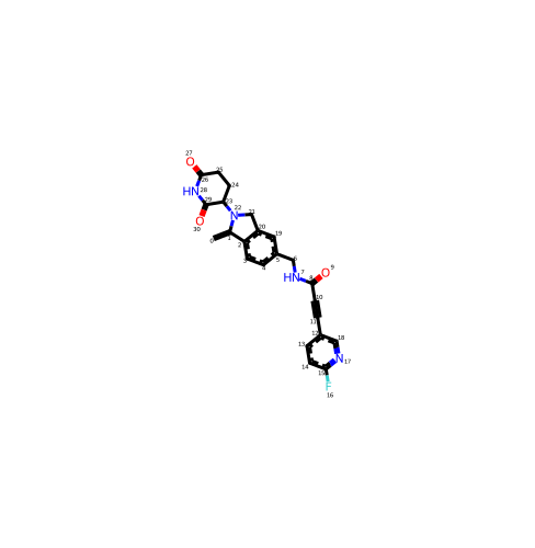 C=C1c2ccc(CNC(=O)C#Cc3ccc(F)nc3)cc2CN1C1CCC(=O)NC1=O